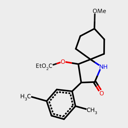 CCOC(=O)OC1C(c2cc(C)ccc2C)C(=O)NC12CCC(OC)CC2